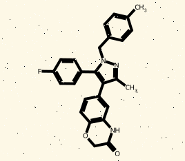 Cc1ccc(Cn2nc(C)c(-c3ccc4c(c3)NC(=O)CO4)c2-c2ccc(F)cc2)cc1